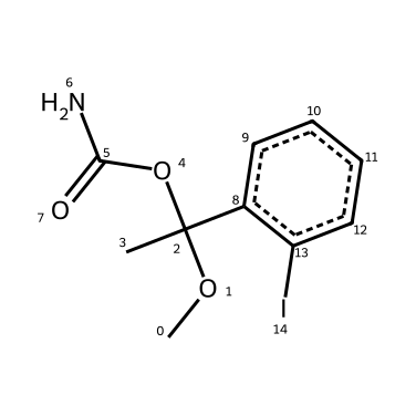 COC(C)(OC(N)=O)c1ccccc1I